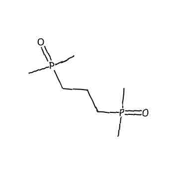 CP(C)(=O)CCCP(C)(C)=O